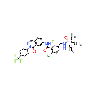 CC(C)(C)C(=O)NCc1ccc(Cl)c(C(=O)Nc2ccc3cnn(C4CCC(C(F)(F)F)CC4)c(=O)c3c2)c1F